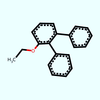 CCOc1cccc(-c2ccccc2)c1-c1ccccc1